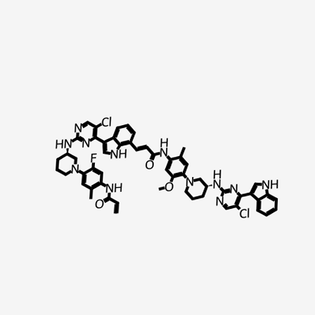 C=CC(=O)Nc1cc(F)c(N2CCC[C@@H](Nc3ncc(Cl)c(-c4c[nH]c5c(/C=C/C(=O)Nc6cc(OC)c(N7CCC[C@@H](Nc8ncc(Cl)c(-c9c[nH]c%10ccccc9%10)n8)C7)cc6C)cccc45)n3)C2)cc1C